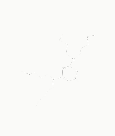 CCCCSN(SCCCC)c1nc(Cl)nc(N(SCCCC)SCCCC)n1